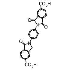 O=C(O)c1ccc2c(c1)CN(c1ccc(N3C(=O)c4ccc(C(=O)O)cc4C3=O)cc1)C2=O